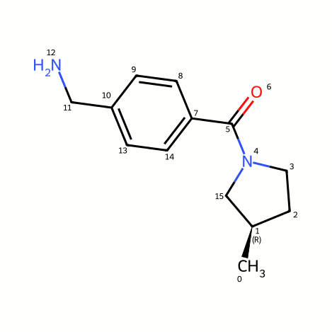 C[C@@H]1CCN(C(=O)c2ccc(CN)cc2)C1